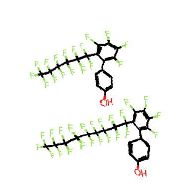 Oc1ccc(-c2c(F)c(F)c(F)c(F)c2C(F)(F)C(F)(F)C(F)(F)C(F)(F)C(F)(F)C(F)(F)C(F)(F)C(F)(F)C(F)(F)F)cc1.Oc1ccc(-c2c(F)c(F)c(F)c(F)c2C(F)(F)C(F)(F)C(F)(F)C(F)(F)C(F)(F)C(F)(F)F)cc1